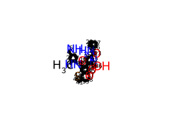 Cc1cc(CN)ccc1NC(=O)c1cc2c(cc1-c1ccc(C(=O)NC34CCC(CC3)C4)nc1C(=O)O)OCCc1ccsc1-2